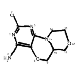 Nc1nc(Cl)nc2c1OCC1COCCN21